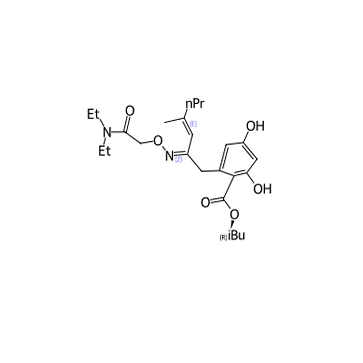 CCC/C(C)=C/C(Cc1cc(O)cc(O)c1C(=O)O[C@H](C)CC)=N\OCC(=O)N(CC)CC